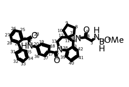 COBNCC(=O)NC1CCCC12CCN(C(=O)c1ccc(NC(=O)c3ccccc3-c3ccccc3)cc1)c1ccccc1C2